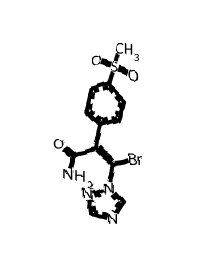 CS(=O)(=O)c1ccc(/C(C(N)=O)=C(\Br)n2cncn2)cc1